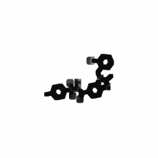 Cc1ccc(S(=O)(=O)NC(=O)c2ccc3nc(C)n(Cc4ccccc4Cl)c3c2)cc1